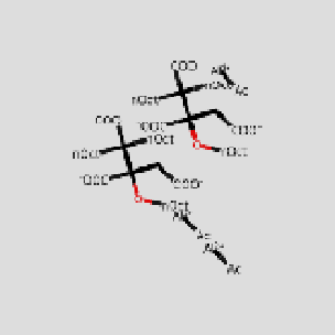 CCCCCCCCOC(CC(=O)[O-])(C(=O)[O-])C(CCCCCCCC)(CCCCCCCC)C(=O)[O-].CCCCCCCCOC(CC(=O)[O-])(C(=O)[O-])C(CCCCCCCC)(CCCCCCCC)C(=O)[O-].C[C](=O)[Al+2].C[C](=O)[Al+2].C[C](=O)[Al+2]